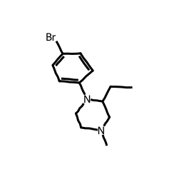 CCC1CN(C)CCN1c1ccc(Br)cc1